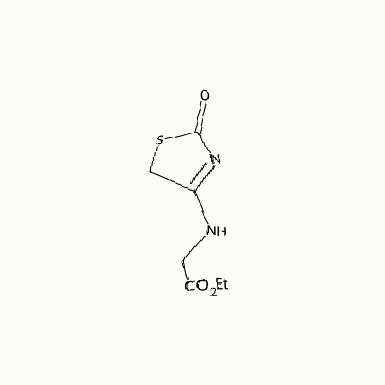 CCOC(=O)CNC1=NC(=O)SC1